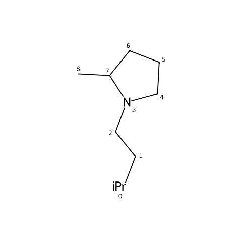 CC(C)CCN1CCCC1C